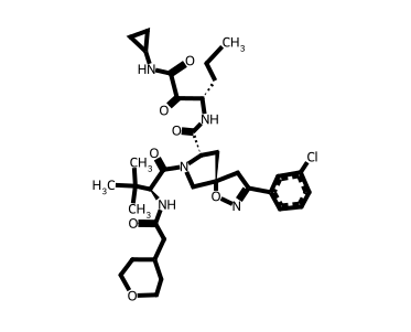 CCC[C@H](NC(=O)[C@@H]1C[C@]2(CC(c3cccc(Cl)c3)=NO2)CN1C(=O)[C@@H](NC(=O)CC1CCOCC1)C(C)(C)C)C(=O)C(=O)NC1CC1